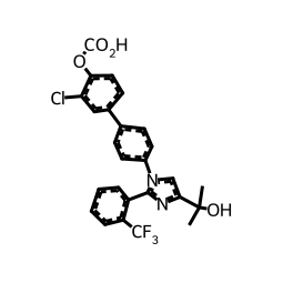 CC(C)(O)c1cn(-c2ccc(-c3ccc(OC(=O)O)c(Cl)c3)cc2)c(-c2ccccc2C(F)(F)F)n1